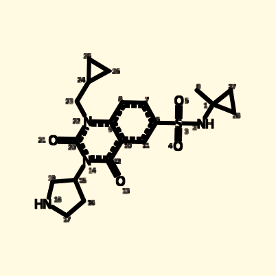 CC1(NS(=O)(=O)c2ccc3c(c2)c(=O)n(C2CCNC2)c(=O)n3CC2CC2)CC1